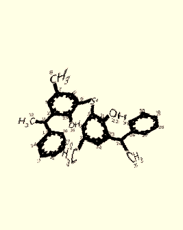 Cc1cc(Sc2cc(C)cc(C(C)c3ccccc3)c2O)c(O)c(C(C)c2ccccc2)c1